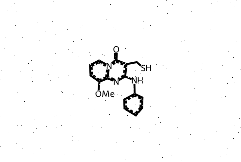 COc1cccn2c(=O)c(CS)c(Nc3ccccc3)nc12